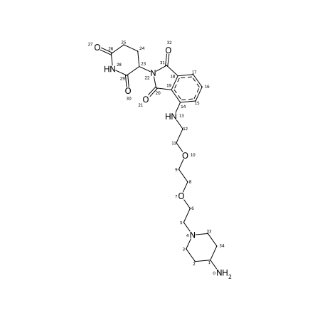 NC1CCN(CCOCCOCCNc2cccc3c2C(=O)N(C2CCC(=O)NC2=O)C3=O)CC1